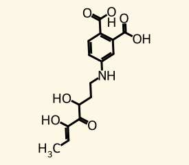 CC=C(O)C(=O)C(O)CCNc1ccc(C(=O)O)c(C(=O)O)c1